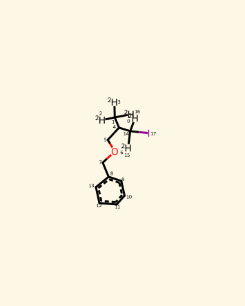 [2H]C([2H])([2H])C(COCc1ccccc1)C([2H])([2H])I